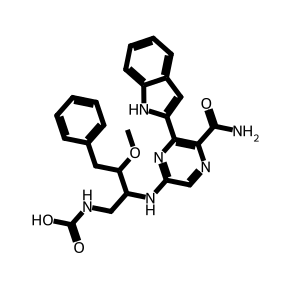 COC(Cc1ccccc1)C(CNC(=O)O)Nc1cnc(C(N)=O)c(-c2cc3ccccc3[nH]2)n1